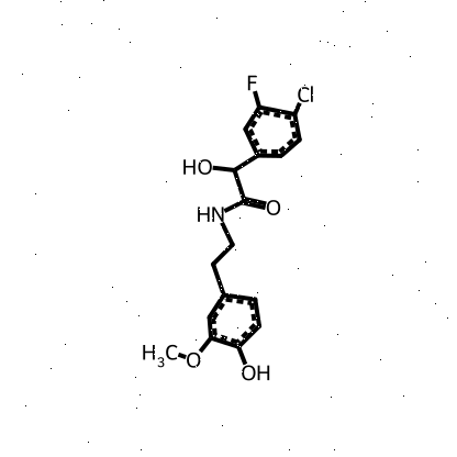 COc1cc(CCNC(=O)C(O)c2ccc(Cl)c(F)c2)ccc1O